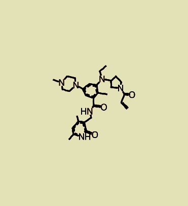 C=CC(=O)N1CCC(N(CC)c2cc(N3CCN(C)CC3)cc(C(=O)NCc3c(C)cc(C)[nH]c3=O)c2C)C1